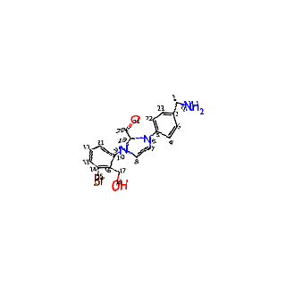 NCc1ccc(N2C=CN(c3cccc(Br)c3CO)C2C=O)cc1